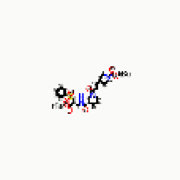 CC(C)(C)OC(=O)[C@H](CNC(=O)[C@@H]1CCCN(C(=O)CCC2CCN(C(=O)OC(C)(C)C)CC2)C1)CS(=O)(=O)c1ccccc1